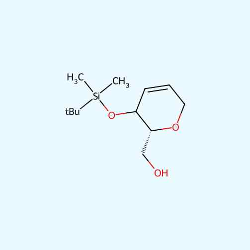 CC(C)(C)[Si](C)(C)OC1C=CCO[C@@H]1CO